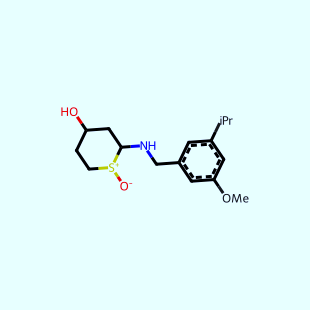 COc1cc(CNC2CC(O)CC[S+]2[O-])cc(C(C)C)c1